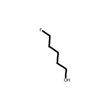 OC[CH]CCCF